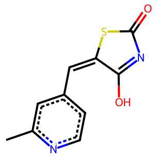 Cc1cc(/C=C2/SC(=O)N=C2O)ccn1